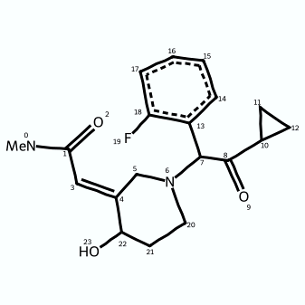 CNC(=O)C=C1CN(C(C(=O)C2CC2)c2ccccc2F)CCC1O